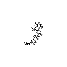 COC1CCC(NC(=O)n2cnc3ccc(N4CCCC4c4cc(F)ccc4F)nc32)CC1